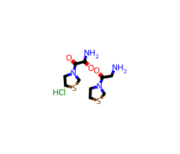 Cl.NC(=O)C(=O)N1CCSC1.NCC(=O)N1CCSC1